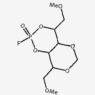 COCC1OP(=O)(F)OC2C(COC)OCOC12